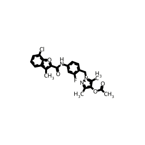 CC(=O)Oc1c(C)nn(Cc2ccc(NC(=O)c3oc4c(Cl)cccc4c3C)cc2F)c1C